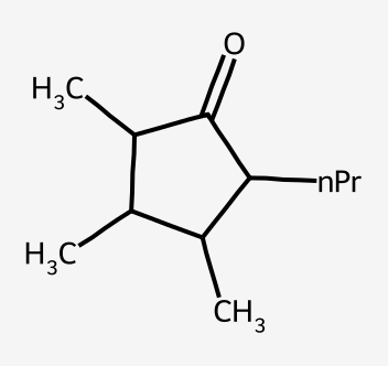 CCCC1C(=O)C(C)C(C)C1C